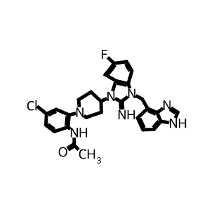 CC(=O)Nc1ccc(Cl)cc1N1CCC(n2c(=N)n(Cc3cccc4[nH]cnc34)c3ccc(F)cc32)CC1